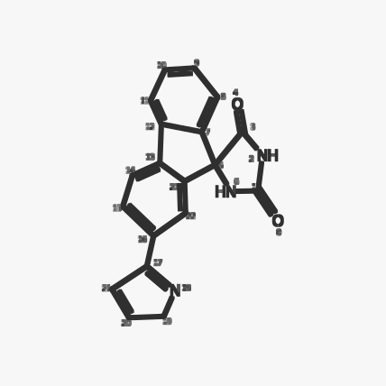 O=C1NC(=O)C2(N1)c1ccccc1-c1ccc(C3=NCC=C3)cc12